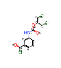 O=C(Nc1cccc(C(=O)Cl)c1)OC(CCl)CCl